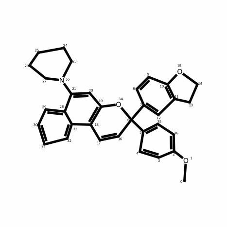 COc1ccc(C2(c3ccc4c(c3)CCO4)C=Cc3c(cc(N4CCCCC4)c4ccccc34)O2)cc1